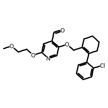 COCCOc1cc(C=O)c(OCC2=C(c3ccccc3Cl)CCCC2)cn1